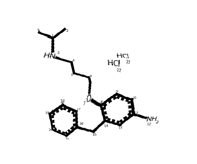 CC(C)NCCCOc1ccc(N)cc1Cc1ccccc1.Cl.Cl